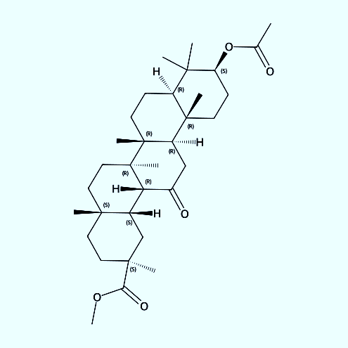 COC(=O)[C@@]1(C)CC[C@]2(C)CC[C@]3(C)[C@H](C(=O)C[C@@H]4[C@@]5(C)CC[C@H](OC(C)=O)C(C)(C)[C@@H]5CC[C@]43C)[C@@H]2C1